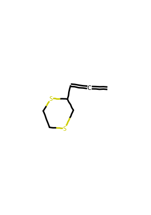 C=C=CC1CSCCS1